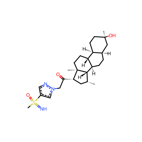 C[C@@H]1C[C@H](C(=O)Cn2cc(S(C)(=N)=O)cn2)[C@@]2(C)CC[C@H]3[C@@H](CC[C@@H]4C[C@](C)(O)CC[C@@H]43)[C@H]12